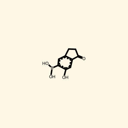 O=C1CCc2cc(B(O)O)c(O)cc21